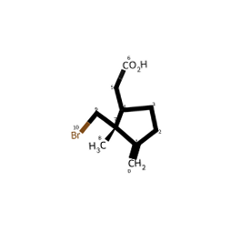 C=C1CCC(CC(=O)O)[C@@]1(C)CBr